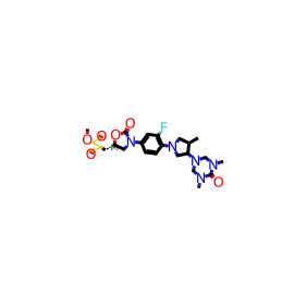 COS(=O)(=O)C[C@H]1CN(c2ccc(N3CC(C)C(N4CN(C)C(=O)N(C)C4)C3)c(F)c2)C(=O)O1